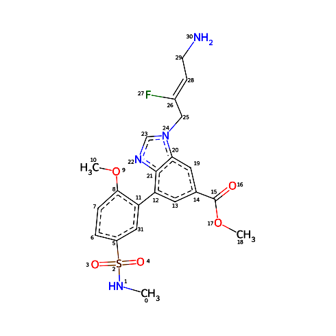 CNS(=O)(=O)c1ccc(OC)c(-c2cc(C(=O)OC)cc3c2ncn3C/C(F)=C/CN)c1